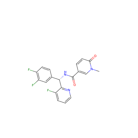 Cn1cc(C(=O)N[C@@H](c2ccc(F)c(F)c2)c2ncccc2F)ccc1=O